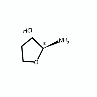 Cl.N[C@@H]1CCCO1